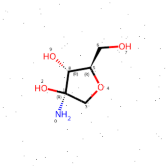 N[C@@]1(O)[CH]O[C@H](CO)[C@H]1O